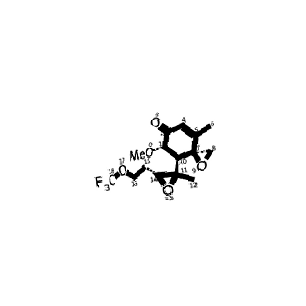 CO[C@@H]1C(=O)C=C(C)[C@]2(CO2)[C@H]1C1(C)O[C@@H]1CCOC(F)(F)F